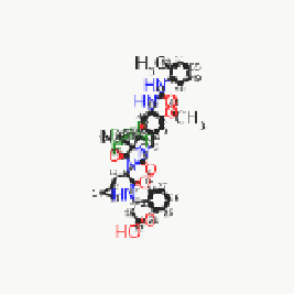 COc1cc(CN2C(=O)N([C@@H](CC3CC3)C(=O)N[C@@H](CC(=O)O)c3ccccc3)C(=O)C2(C(F)(F)F)C(F)(F)F)ccc1NC(=O)Nc1ccccc1C.[Na]